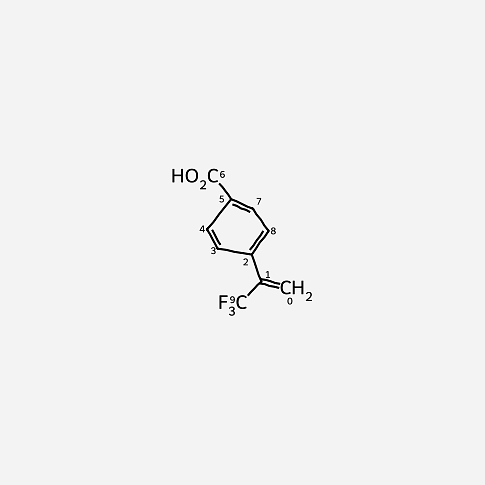 C=C(c1ccc(C(=O)O)cc1)C(F)(F)F